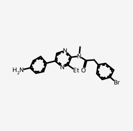 CCc1nc(-c2ccc(N)cc2)cnc1N(C)C(=O)Cc1ccc(Br)cc1